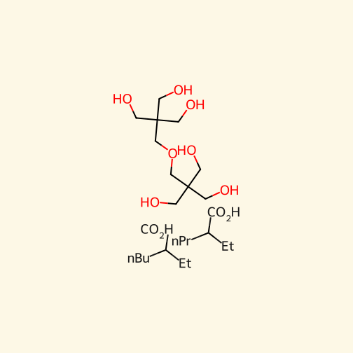 CCCC(CC)C(=O)O.CCCCC(CC)C(=O)O.OCC(CO)(CO)COCC(CO)(CO)CO